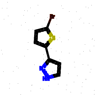 Brc1ccc(-c2cc[nH]n2)s1